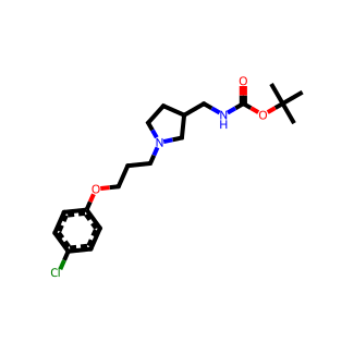 CC(C)(C)OC(=O)NCC1CCN(CCCOc2ccc(Cl)cc2)C1